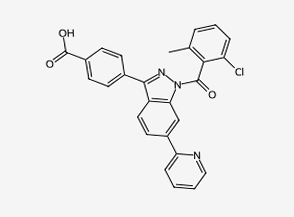 Cc1cccc(Cl)c1C(=O)n1nc(-c2ccc(C(=O)O)cc2)c2ccc(-c3ccccn3)cc21